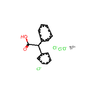 O=C(O)C(c1ccccc1)c1ccccc1.[Cl-].[Cl-].[Cl-].[Cl-].[Ti+4]